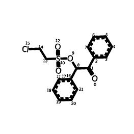 O=C(c1ccccc1)C(OS(=O)(=O)CCCl)c1ccccc1